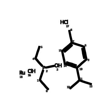 CCP(O)CC.Cc1ccc(C(C)C)cc1.Cl.Cl.[Ru]